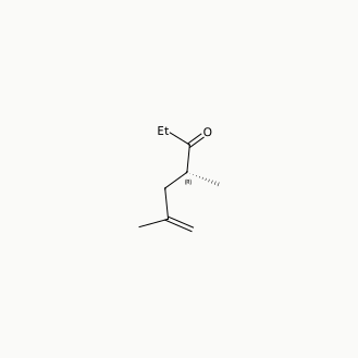 C=C(C)C[C@@H](C)C(=O)CC